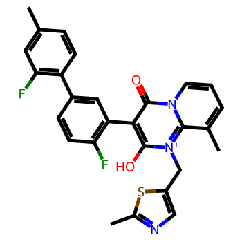 Cc1ccc(-c2ccc(F)c(-c3c(O)[n+](Cc4cnc(C)s4)c4c(C)cccn4c3=O)c2)c(F)c1